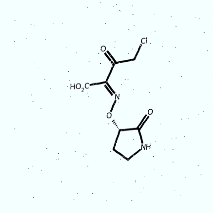 O=C(O)/C(=N\O[C@H]1CCNC1=O)C(=O)CCl